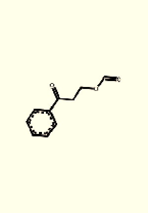 O=[C]OCCC(=O)c1ccccc1